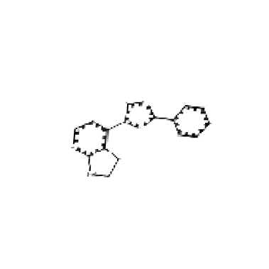 c1ccc(-c2nc(-c3ccnc4c3CCN4)cs2)cc1